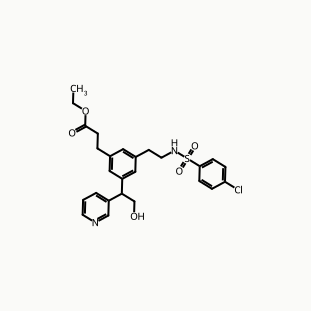 CCOC(=O)CCc1cc(CCNS(=O)(=O)c2ccc(Cl)cc2)cc(C(CO)c2cccnc2)c1